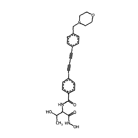 CC(O)C(NC(=O)c1ccc(C#CC#Cc2ccc(CN3CCOCC3)cc2)cc1)C(=O)NO